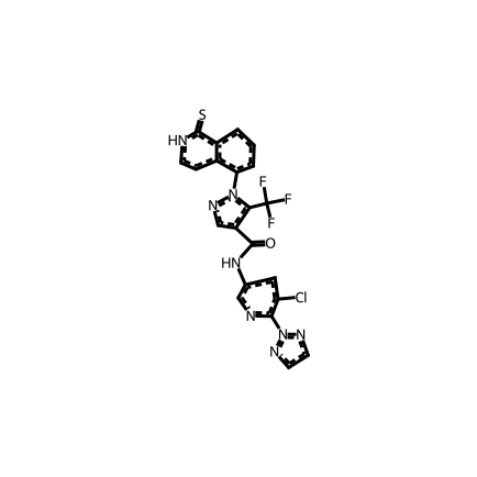 O=C(Nc1cnc(-n2nccn2)c(Cl)c1)c1cnn(-c2cccc3c(=S)[nH]ccc23)c1C(F)(F)F